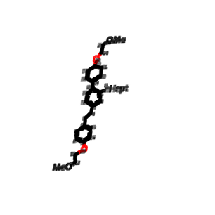 CCCCCCCc1cc(CCc2ccc(OCCOC)cc2)ccc1C1=CCC(OCCOC)C=C1